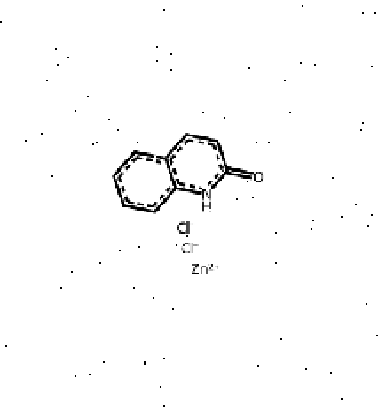 O=c1ccc2ccccc2[nH]1.[Cl-].[Cl-].[Zn+2]